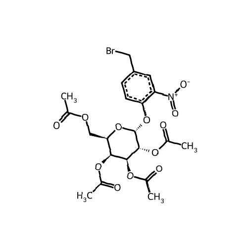 CC(=O)OC[C@H]1O[C@H](Oc2ccc(CBr)cc2[N+](=O)[O-])[C@H](OC(C)=O)[C@@H](OC(C)=O)[C@H]1OC(C)=O